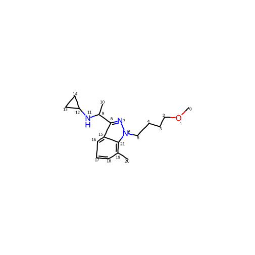 COCCCCn1nc(C(C)NC2CC2)c2cccc(C)c21